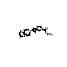 CC(C)(C)OC(=O)N1CC[C@]2(C1)C[C@@H](N1CCC3(CC1)OCCO3)C2